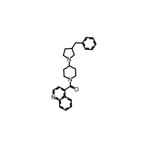 O=C(c1ccnc2ccccc12)N1CCC(N2CCC(Cc3ccccc3)C2)CC1